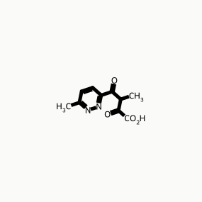 Cc1ccc(C(=O)C(C)C(=O)C(=O)O)nn1